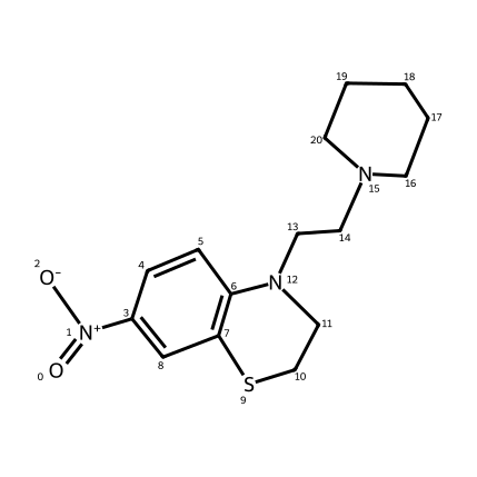 O=[N+]([O-])c1ccc2c(c1)SCCN2CCN1CCCCC1